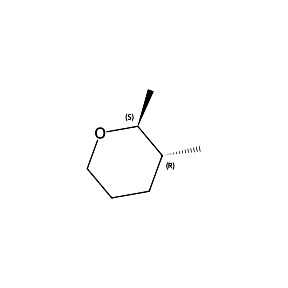 C[C@@H]1CCCO[C@H]1C